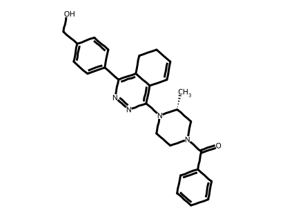 C[C@@H]1CN(C(=O)c2ccccc2)CCN1c1nnc(-c2ccc(CO)cc2)c2c1C=CCC2